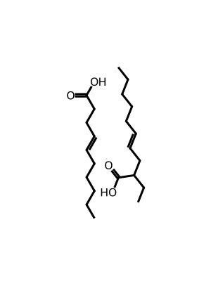 CCCCCC=CCC(CC)C(=O)O.CCCCCC=CCCC(=O)O